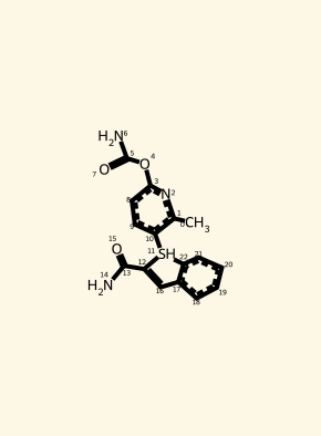 Cc1nc(OC(N)=O)ccc1[SH]1C(C(N)=O)=Cc2ccccc21